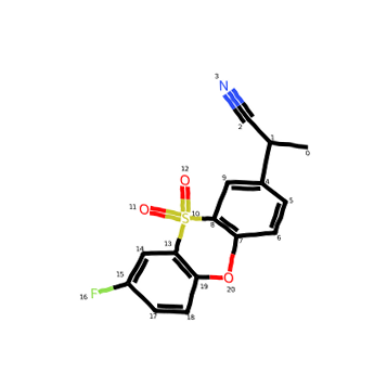 CC(C#N)c1ccc2c(c1)S(=O)(=O)c1cc(F)ccc1O2